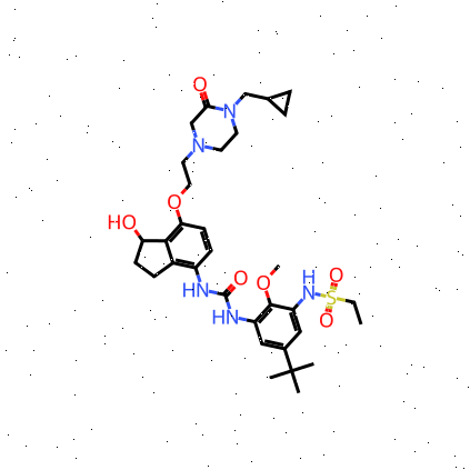 CCS(=O)(=O)Nc1cc(C(C)(C)C)cc(NC(=O)Nc2ccc(OCCN3CCN(CC4CC4)C(=O)C3)c3c2CCC3O)c1OC